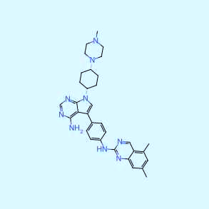 Cc1cc(C)c2cnc(Nc3ccc(-c4cn([C@H]5CC[C@@H](N6CCN(C)CC6)CC5)c5ncnc(N)c45)cc3)nc2c1